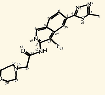 Cc1nnc(-c2ccc3cnc(NC(=O)CN4CCOCC4)c(F)c3c2)s1